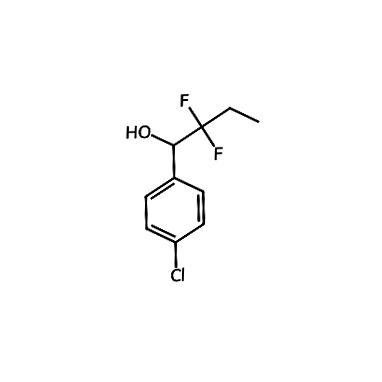 CCC(F)(F)C(O)c1ccc(Cl)cc1